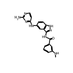 CNc1cccc(C(=O)Nc2n[nH]c3ccc(Nc4ccnc(N)n4)cc23)c1